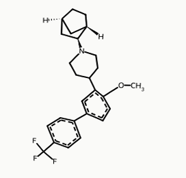 COc1ccc(-c2ccc(C(F)(F)F)cc2)cc1C1CCN([C@H]2C[C@H]3CC[C@H]2C3)CC1